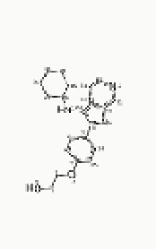 OCCOc1ccc(-c2nc3cnccn3c2NC2CCCCC2)cc1